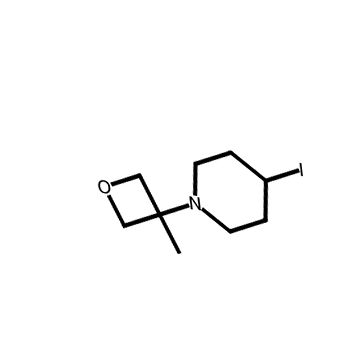 CC1(N2CCC(I)CC2)COC1